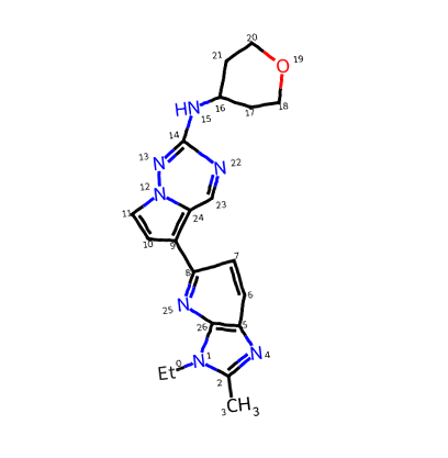 CCn1c(C)nc2ccc(-c3ccn4nc(NC5CCOCC5)ncc34)nc21